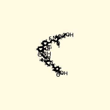 COc1cc(/C(F)=C/c2cccc(-c3cccc(NC(=O)c4nc5c(n4C)CCN(CCC46CCC(C(=O)O)(CC4)C6)C5)c3Cl)c2Cl)ncc1CNCCO